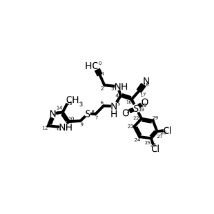 C#CCNC(NCCSCc1[nH]cnc1C)=C(C#N)S(=O)(=O)c1ccc(Cl)c(Cl)c1